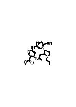 CCCN1CCCC1CC(C)Nc1cc(Nc2cnc(C#N)cn2)ncc1C(=O)OC